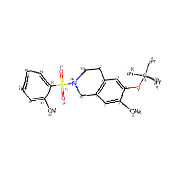 COc1cc2c(cc1O[Si](C(C)C)(C(C)C)C(C)C)CCN(S(=O)(=O)c1ccccc1C#N)C2